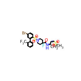 C[C@H](/C=C\S(C)(=O)=O)NC(=O)C1(F)CCN(S(=O)(=O)c2ccc(Br)cc2-c2ccccc2C(F)(F)F)CC1